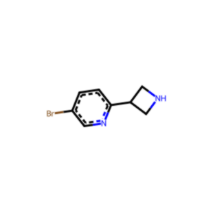 Brc1ccc(C2CNC2)nc1